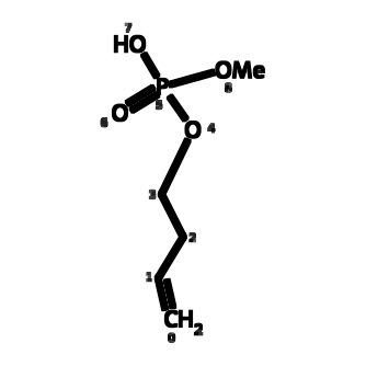 C=CCCOP(=O)(O)OC